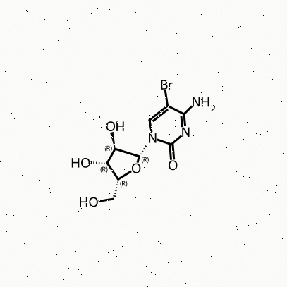 Nc1nc(=O)n([C@@H]2O[C@H](CO)[C@H](O)[C@H]2O)cc1Br